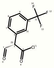 O=C[C@@H](C(=O)Cl)c1cccc(C(F)(F)F)c1